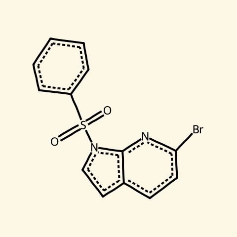 O=S(=O)(c1ccccc1)n1ccc2ccc(Br)nc21